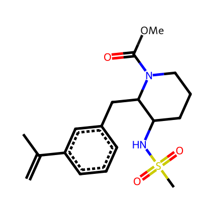 C=C(C)c1cccc(CC2C(NS(C)(=O)=O)CCCN2C(=O)OC)c1